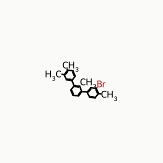 Cc1ccc(-c2cccc(-c3ccc(C)c(Br)c3)c2C)cc1C